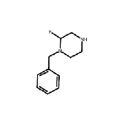 FC1CNCCN1Cc1ccccc1